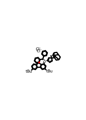 CC(C)(C)c1ccc2c(c1)-c1cc(C(C)(C)C)c[c]([Zr+2]([C]3=CC(C)(C45CC6CC(CC(C6)C4)C5)C=C3)=[C](c3ccccc3)c3ccccc3)c1C2.[Cl-].[Cl-]